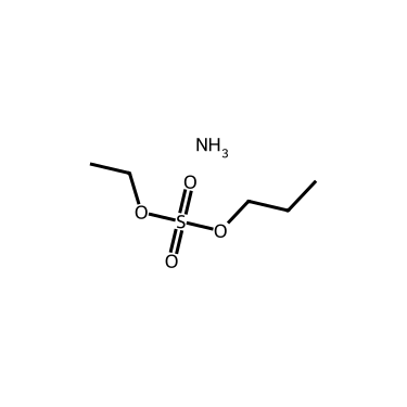 CCCOS(=O)(=O)OCC.N